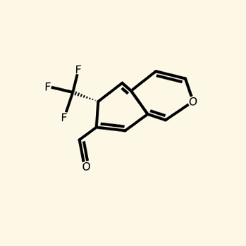 O=CC1=CC2=COC=CC2=C[C@H]1C(F)(F)F